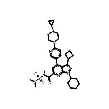 CN(C)S(=O)(=O)NC(=O)c1cc(-c2ccc(N3CCN(C4CC4)CC3)nc2)c2c(C3CCC3)nn(C3CCCCC3)c2n1